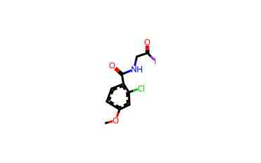 COc1ccc(C(=O)NCC(=O)I)c(Cl)c1